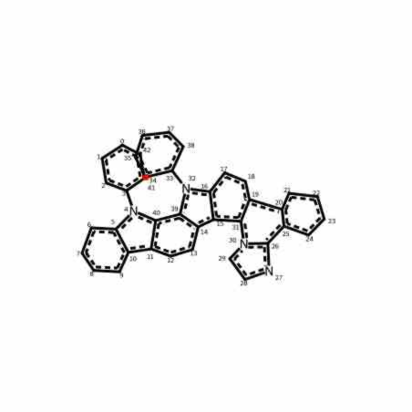 c1ccc(-n2c3ccccc3c3ccc4c5c(ccc6c7ccccc7c7nccn7c65)n(-c5ccccc5)c4c32)cc1